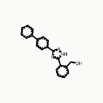 OCc1ccccc1-c1nc(-c2ccc(-c3ccccc3)cc2)n[nH]1